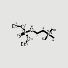 CCOP(=S)(OCC)OCC[N+](C)(C)C